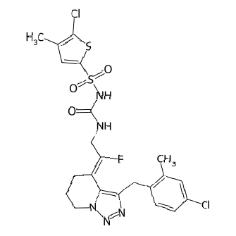 Cc1cc(Cl)ccc1Cc1nnn2c1/C(=C(\F)CNC(=O)NS(=O)(=O)c1cc(C)c(Cl)s1)CCC2